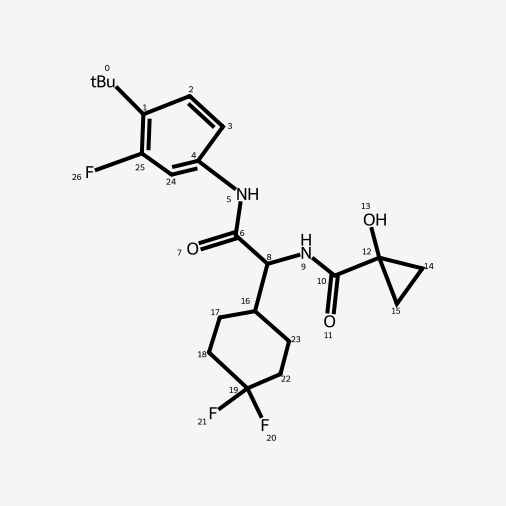 CC(C)(C)c1ccc(NC(=O)C(NC(=O)C2(O)CC2)C2CCC(F)(F)CC2)cc1F